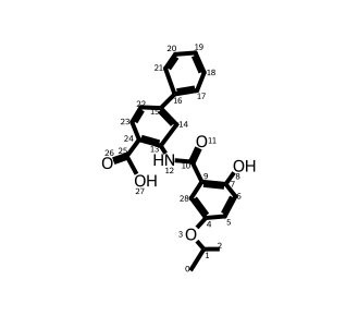 CC(C)Oc1ccc(O)c(C(=O)Nc2cc(-c3ccccc3)ccc2C(=O)O)c1